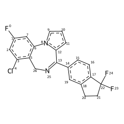 Fc1cc(Cl)c2c(c1)-n1cccc1C(c1ccc3c(c1)CCC3(F)F)=NC2